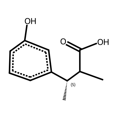 CC(C(=O)O)[C@H](C)c1cccc(O)c1